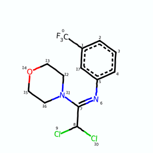 FC(F)(F)c1cccc(N=C(C(Cl)Cl)N2CCOCC2)c1